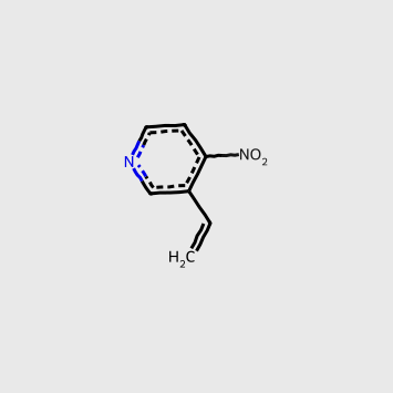 C=Cc1cnccc1[N+](=O)[O-]